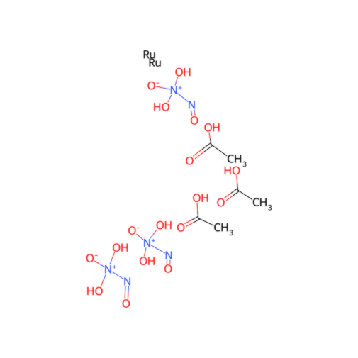 CC(=O)O.CC(=O)O.CC(=O)O.O=N[N+]([O-])(O)O.O=N[N+]([O-])(O)O.O=N[N+]([O-])(O)O.[Ru].[Ru]